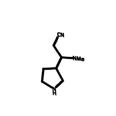 CNC(CC#N)C1CCNC1